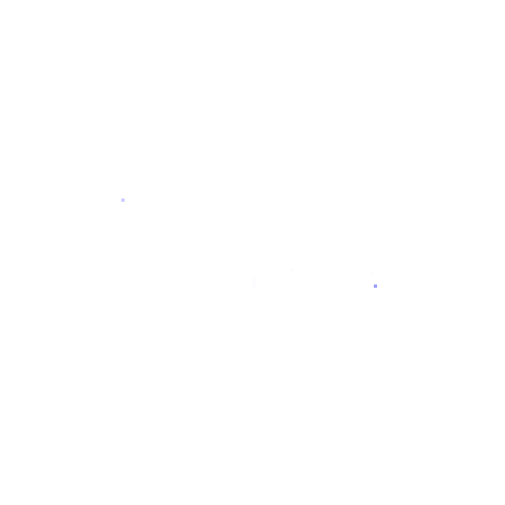 O=C(Nc1ncc(-c2ccc3cnccc3c2)s1)c1ccnnc1